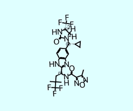 [2H]C1([2H])[C@@H](C(F)(F)F)NC(=O)N1[C@@H](c1ccc2[nH]c([C@H](CC(C)(C)C(F)(F)F)NC(=O)c3nonc3C)nc2c1)C1CC1